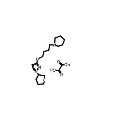 O=C(O)C(=O)O.c1cn(C2CCCCC2)nc1OCCCCN1CCCCC1